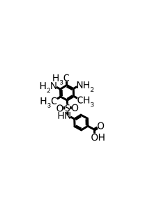 Cc1c(N)c(C)c(S(=O)(=O)Nc2ccc(C(=O)O)cc2)c(C)c1N